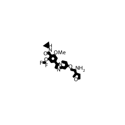 COc1cc(-c2cnc3cc(OCC(N)C4CCOC4)ccn23)cc(OC(F)F)c1C(=O)NC1CC1